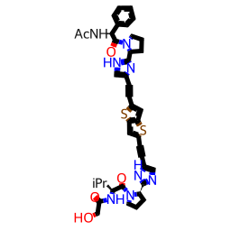 CC(=O)N[C@@H](C(=O)N1CCCC1c1nc(C#Cc2cc3sc(C#Cc4cnc([C@@H]5CCCN5C(=O)[C@@H](NC(=O)CO)C(C)C)[nH]4)cc3s2)c[nH]1)c1ccccc1